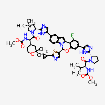 COC(=O)NC(C(=O)N1C[Si](C)(C)C[C@H]1c1ncc(-c2ccc3c(c2)cc2n3[C@H](c3cnc(C4CC4)s3)Oc3cc(-c4cnc([C@@H]5CCCN5C(=O)[C@@H](NC(=O)OC)C(C)C)[nH]4)cc(F)c3-2)[nH]1)[C@@H]1CCOC(C)(C)C1